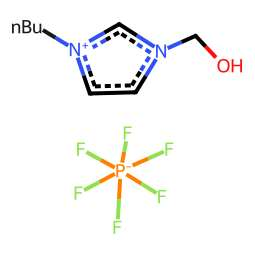 CCCC[n+]1ccn(CO)c1.F[P-](F)(F)(F)(F)F